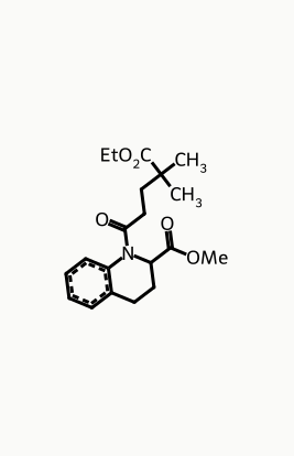 CCOC(=O)C(C)(C)CCC(=O)N1c2ccccc2CCC1C(=O)OC